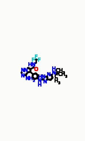 CC(C)(C)Nc1ccc2nc(Nc3ccc(-c4c(C(=O)NCC(F)(F)F)cn5ncnc(N)c45)cc3)[nH]c2n1